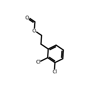 O=COCCc1cccc(Cl)c1Cl